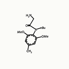 CCCCN(C(=O)CN)c1c(OC)cc(C)cc1OC